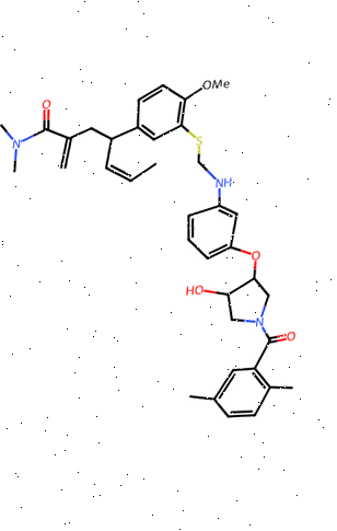 C=C(CC(/C=C\C)c1ccc(OC)c(SCNc2cccc(OC3CN(C(=O)c4cc(C)ccc4C)CC3O)c2)c1)C(=O)N(C)C